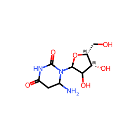 NC1CC(=O)NC(=O)N1C1O[C@H](CO)[C@H](O)C1O